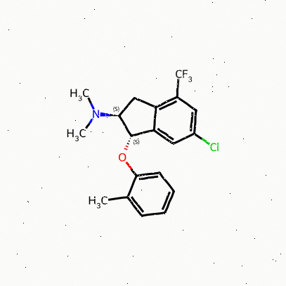 Cc1ccccc1O[C@H]1c2cc(Cl)cc(C(F)(F)F)c2C[C@@H]1N(C)C